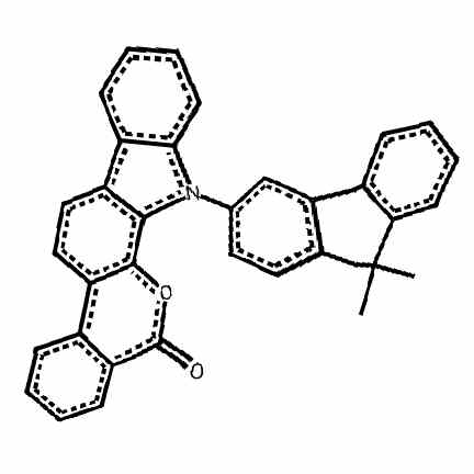 CC1(C)c2ccccc2-c2cc(-n3c4ccccc4c4ccc5c6ccccc6c(=O)oc5c43)ccc21